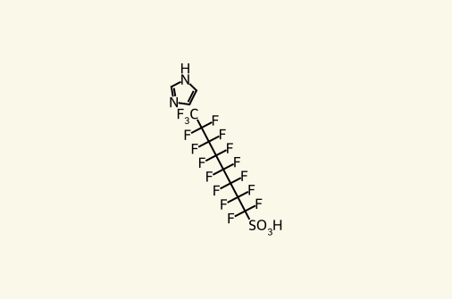 O=S(=O)(O)C(F)(F)C(F)(F)C(F)(F)C(F)(F)C(F)(F)C(F)(F)C(F)(F)C(F)(F)F.c1c[nH]cn1